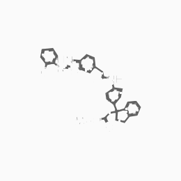 COC(=O)CC1(c2ccc(NC(=O)Cc3ccc4nc(Nc5ccccc5C)oc4c3)cc2)CCc2ccccc21